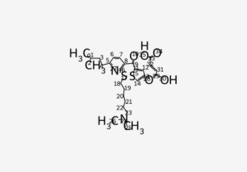 CC(C)CCc1ccc(C(=O)c2cccs2)c(SCCCCCCN(C)C)n1.O=C(O)C=CC(=O)O